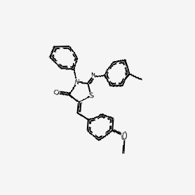 COc1ccc(/C=C2\S/C(=N\c3ccc(C)cc3)N(c3ccccc3)C2=O)cc1